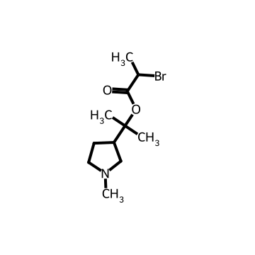 CC(Br)C(=O)OC(C)(C)C1CCN(C)C1